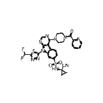 N#CC1(NS(=O)(=O)c2ccc3c4c(N5CCN(C(=O)c6ccccn6)CC5)ncnc4n(-c4nnc(C(F)F)s4)c3c2)CC1